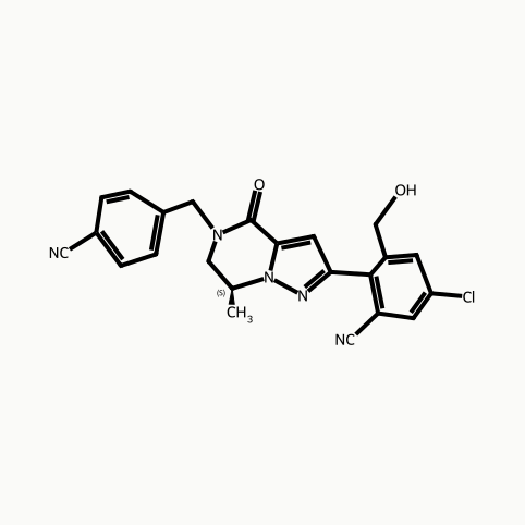 C[C@H]1CN(Cc2ccc(C#N)cc2)C(=O)c2cc(-c3c(C#N)cc(Cl)cc3CO)nn21